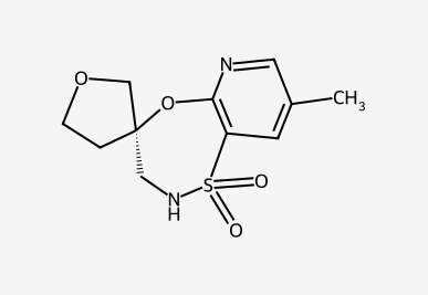 Cc1cnc2c(c1)S(=O)(=O)NC[C@@]1(CCOC1)O2